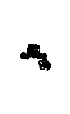 COC(=O)CC(NC(=O)C1CCN(C(=O)/C=C/c2cc3ccsc3c(Cl)c2Cl)CC1)c1ccc(Oc2ccccc2)cc1